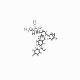 CN[C@H](C)C(=O)Nc1ccc(-c2ccc(F)nc2)n(Cc2cncc(C(=O)c3ccc(F)cc3)c2)c1=O